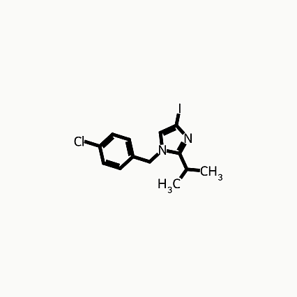 CC(C)c1nc(I)cn1Cc1ccc(Cl)cc1